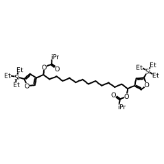 CC[Si](CC)(CC)c1cc(C(CCCCCCCCCCCCC(OC(=O)C(C)C)c2coc([Si](CC)(CC)CC)c2)OC(=O)C(C)C)co1